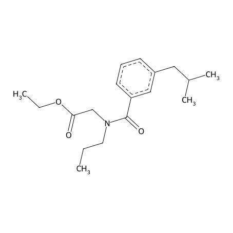 CCCN(CC(=O)OCC)C(=O)c1cccc(CC(C)C)c1